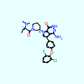 C/C=C(\C(=O)N1CCC[C@@H](n2cc(-c3ccc(Oc4c(F)cccc4Cl)cc3)c3c(N)n[nH]c(=O)c32)C1)N(C)C